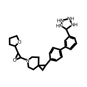 c1cc(-c2ccc(C3CC34CCN(C3OC3C3CCCO3)CC4)cc2)cc(C2NNNN2)c1